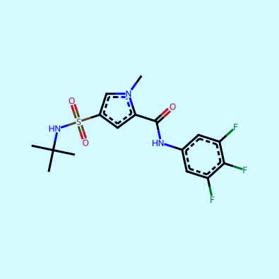 Cn1cc(S(=O)(=O)NC(C)(C)C)cc1C(=O)Nc1cc(F)c(F)c(F)c1